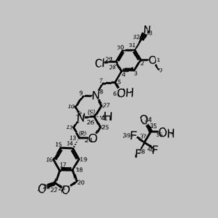 COc1cc(C(O)CN2CCN3C[C@@H](c4ccc5c(c4)COC5=O)OC[C@@H]3C2)c(Cl)cc1C#N.O=C(O)C(F)(F)F